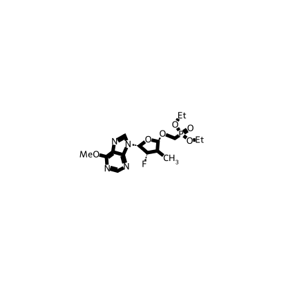 CCOP(=O)(CO[C@H]1O[C@@H](n2cnc3c(OC)ncnc32)[C@@H](F)C1C)OCC